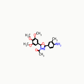 COc1cc(C2OC(c3ccc(N)c(C)c3)=NN2C(C)=O)cc(OC)c1OC